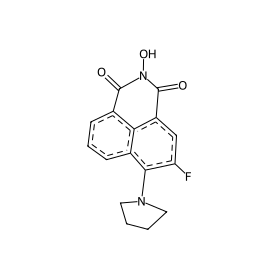 O=C1c2cccc3c(N4CCCC4)c(F)cc(c23)C(=O)N1O